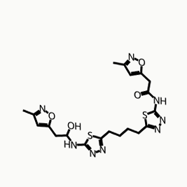 Cc1cc(CC(=O)Nc2nnc(CCCCc3nnc(NC(O)Cc4cc(C)no4)s3)s2)on1